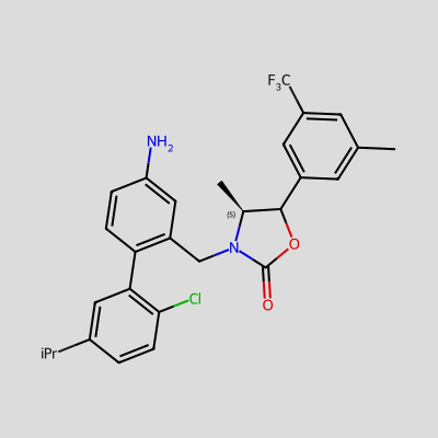 Cc1cc(C2OC(=O)N(Cc3cc(N)ccc3-c3cc(C(C)C)ccc3Cl)[C@H]2C)cc(C(F)(F)F)c1